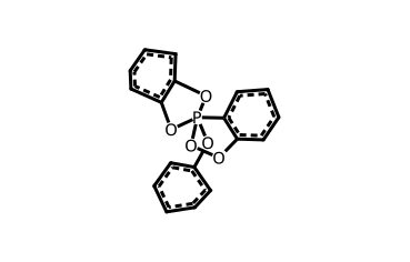 c1ccc(OP23(OOc4ccccc42)Oc2ccccc2O3)cc1